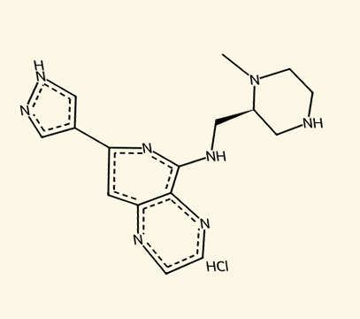 CN1CCNC[C@H]1CNc1nc(-c2cn[nH]c2)cc2nccnc12.Cl